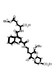 CCOC(=O)N1CCN(C(=O)C(CCNC(=O)c2cc(C(=O)NC(CCC(=O)OC(C)(C)C)C(=O)O)c3ccccc3n2)C(=O)OC(C)(C)C)CC1